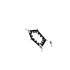 [K].c1cscn1